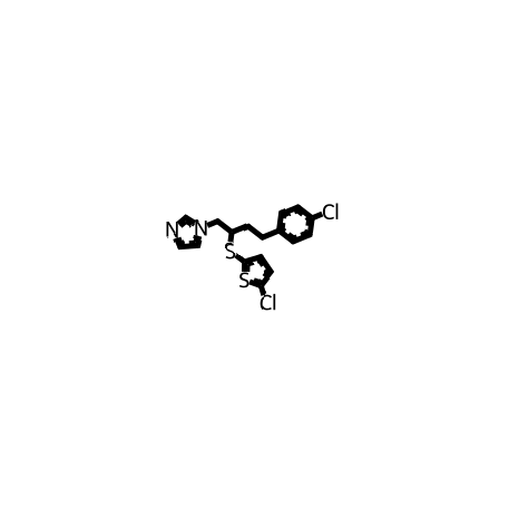 Clc1ccc(CCC(Cn2ccnc2)Sc2ccc(Cl)s2)cc1